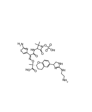 CC(ON=C(C(=O)NC1C(=O)N(OS(=O)(=O)O)C1(C)C)c1csc(N)n1)(C(=O)O)[C@H]1CCc2cc(C3CNC(NCCN)=N3)ccc2O1